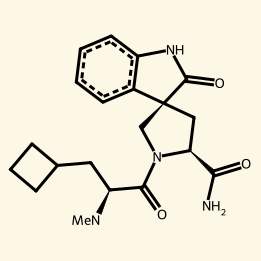 CN[C@@H](CC1CCC1)C(=O)N1C[C@]2(C[C@H]1C(N)=O)C(=O)Nc1ccccc12